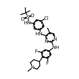 Cc1cnc(Nc2cc(F)c(C3CCN(C)CC3)c(F)c2)nc1Nc1cc(Cl)cc(NS(=O)(=O)C(C)(C)C)c1